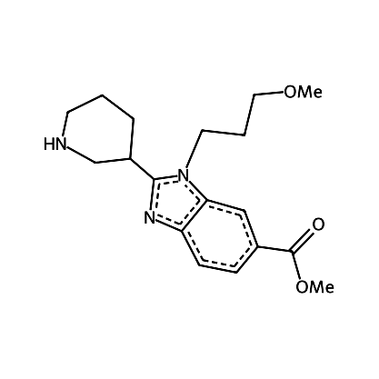 COCCCn1c(C2CCCNC2)nc2ccc(C(=O)OC)cc21